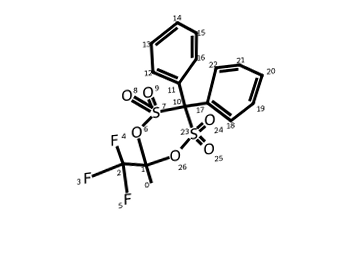 CC1(C(F)(F)F)OS(=O)(=O)C(c2ccccc2)(c2ccccc2)S(=O)(=O)O1